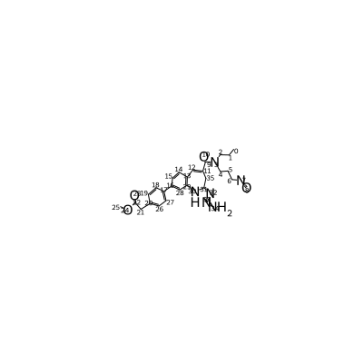 CCCN(CCCN=O)C(=O)C1=Cc2ccc(-c3ccc(CC(=O)OC)cc3)cc2NC(N=NN)C1